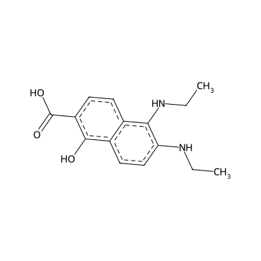 CCNc1ccc2c(O)c(C(=O)O)ccc2c1NCC